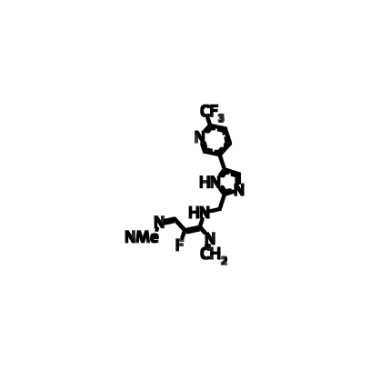 C=N/C(NCc1ncc(-c2ccc(C(F)(F)F)nc2)[nH]1)=C(F)/C=N\NC